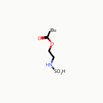 CCC(C)C(=O)OCCNS(=O)(=O)O